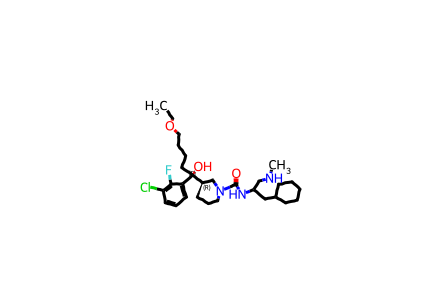 CCOCCCC[C@@](O)(c1cccc(Cl)c1F)[C@@H]1CCCN(C(=O)NC(CNC)CC2CCCCC2)C1